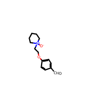 O=Cc1ccc(OCC[N+]2([O-])CCCCC2)cc1